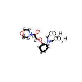 O=C(O)CN(CC(=O)O)c1ccccc1OCC(=O)N1CCOCC1